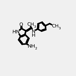 CCc1ccc(NC(C)=C2C(=O)Nc3ccc(N)cc32)cc1